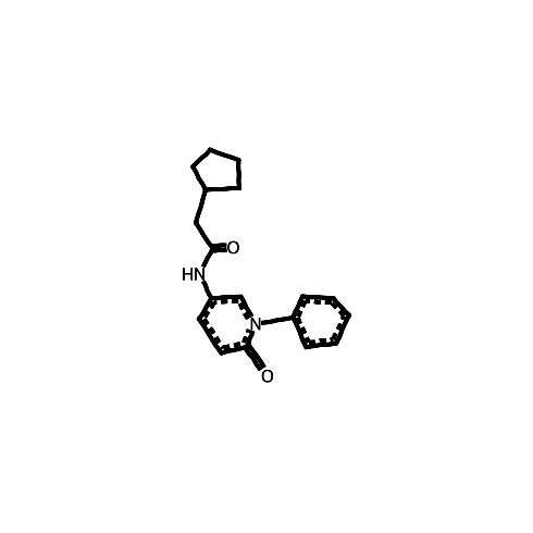 O=C(CC1CCCC1)Nc1ccc(=O)n(-c2ccccc2)c1